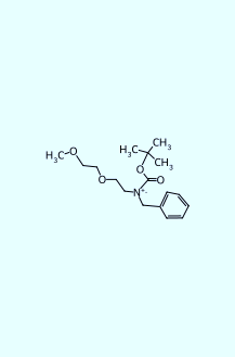 COCCOCC[N+](Cc1ccccc1)C(=O)OC(C)(C)C